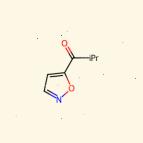 CC(C)C(=O)c1ccno1